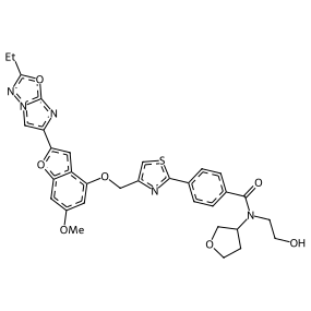 CCc1nn2cc(-c3cc4c(OCc5csc(-c6ccc(C(=O)N(CCO)C7CCOC7)cc6)n5)cc(OC)cc4o3)nc2o1